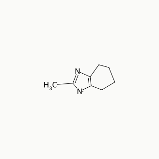 CC1=NC2=C(CCCC2)[N]1